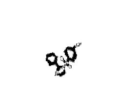 O=S(=O)(c1ccc(Cl)cc1)n1ccnc1-c1ccccc1